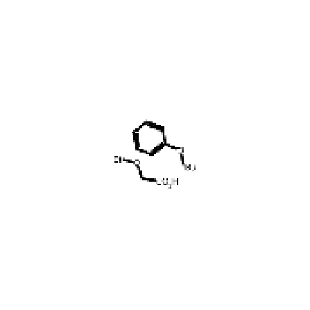 CCCCOc1ccccc1.CCOCC(=O)O